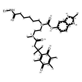 CCNC(=O)CCCCCN(CCN(C)C(=O)CC(C)(C)C1=C(C)C(=O)C(C)=C(C)C1=O)C(=O)Oc1ccc2nc(C)sc2c1